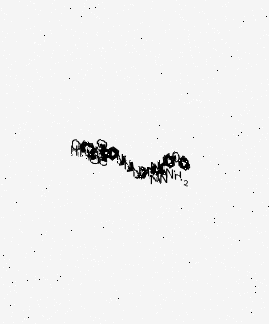 Nc1ncnc2c1c(-c1ccc(Oc3ccccc3)cc1)nn2C1CCN(C2CN(C3CN(c4ccc5c(c4)C(=O)N(C4CCC(=O)NC4=O)C5=O)C3)C2)C1